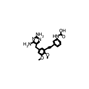 COc1cc(Cc2cnc(N)nc2N)cc(C#Cc2cccc(NC(=O)O)c2)c1OC